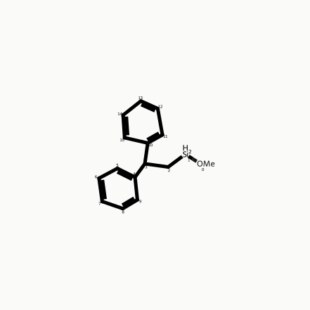 CO[SiH2]CC(c1ccccc1)c1ccccc1